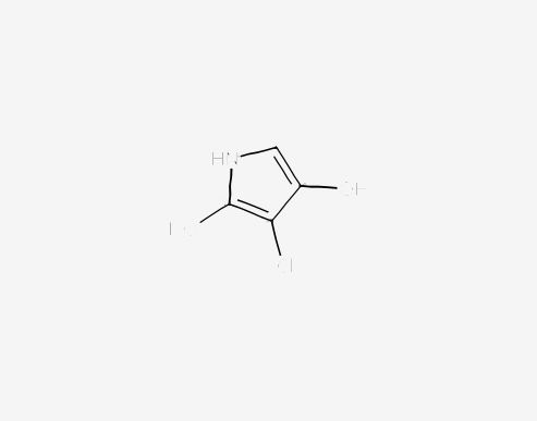 Oc1c[nH]c(O)c1Cl